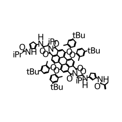 C=C(C)C(=O)NC1=CCC(NC(=O)C(C(C)C)N2C(=O)c3cc(Oc4ccc(C(C)(C)C)cc4C)c4c5c(Oc6ccc(C(C)(C)C)cc6C)cc6c7c(cc(Oc8ccc(C(C)(C)C)cc8C)c(c8c(Oc9ccc(C(C)(C)C)cc9C)cc(c3c48)C2=O)c75)C(=O)N(C(C(=O)NC2=CC(NC(=O)C(C)C)=CC2)C(C)C)C6=O)=C1